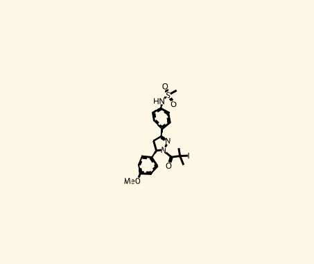 COc1ccc(C2CC(c3ccc(NS(C)(=O)=O)cc3)=NN2C(=O)C(C)(C)I)cc1